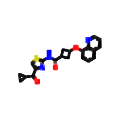 O=C(Nc1nc(C(=O)C2CC2)cs1)C1CC(Oc2cccc3cccnc23)C1